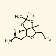 CC1(C)O[C@@H]2[C@H](O1)[C@@H](CN)O[C@H]2CC(N)=O